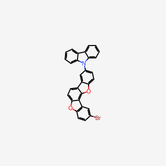 Brc1ccc2oc3ccc4c5cc(-n6c7ccccc7c7ccccc76)ccc5oc4c3c2c1